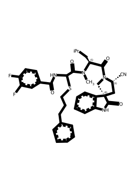 CC(C)C[C@@H](C(=O)N1C[C@]2(C[C@H]1C#N)C(=O)Nc1ccccc12)N(C)C(=O)C(NC(=O)c1ccc(F)c(F)c1)SCCCc1ccccc1